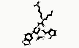 CCCCN(CCCCN(C)C)C(=O)CN1C[C@H](c2ccc3c(c2)OCO3)[C@@H](C(=O)O)[C@@H]1CCc1cccn1C